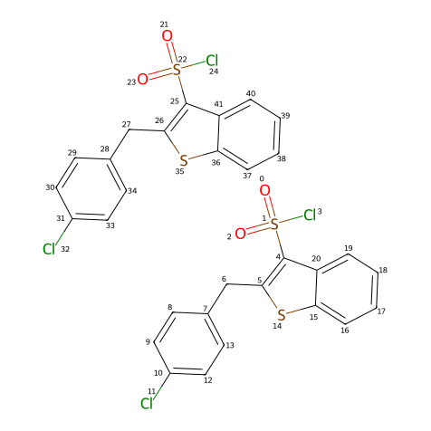 O=S(=O)(Cl)c1c(Cc2ccc(Cl)cc2)sc2ccccc12.O=S(=O)(Cl)c1c(Cc2ccc(Cl)cc2)sc2ccccc12